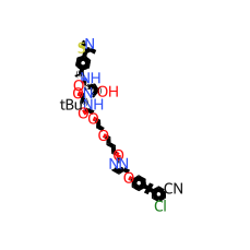 Cc1ncsc1-c1ccc([C@H](C)NC(=O)[C@@H]2C[C@@H](O)CN2C(=O)[C@@H](NC(=O)COCCCOCCCCOc2nccc(COc3ccc(C(C)(C)c4cc(Cl)cc(C#N)c4)cc3)n2)C(C)(C)C)cc1